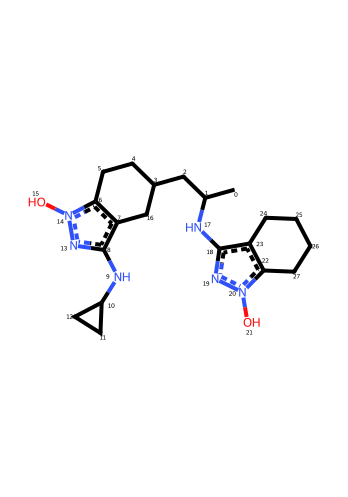 CC(CC1CCc2c(c(NC3CC3)nn2O)C1)Nc1nn(O)c2c1CCCC2